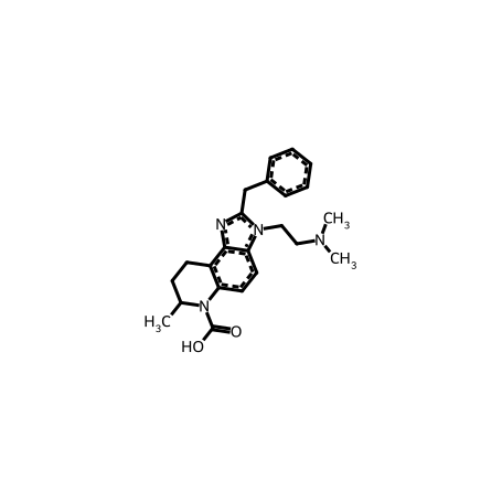 CC1CCc2c(ccc3c2nc(Cc2ccccc2)n3CCN(C)C)N1C(=O)O